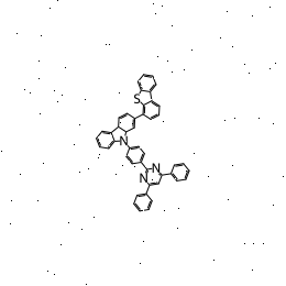 C1=CC2c3ccccc3N(c3ccc(-c4nc(-c5ccccc5)cc(-c5ccccc5)n4)cc3)C2C=C1c1cccc2c1sc1ccccc12